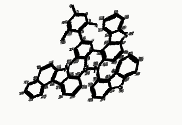 Cc1cc(C)c(-c2cc3c4c(c2)-n2c5ccc6ccccc6c5c5cccc(c52)B4N(c2cccc4sc5ccccc5c24)c2ccc4sc5ccccc5c4c2-3)c(C)c1